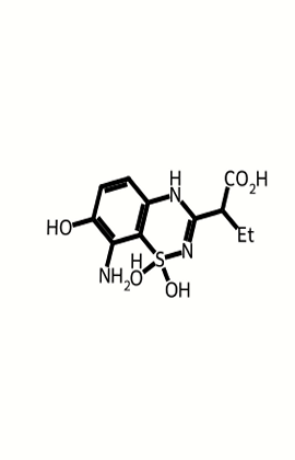 CCC(C(=O)O)C1=NS(O)(O)c2c(ccc(O)c2N)N1